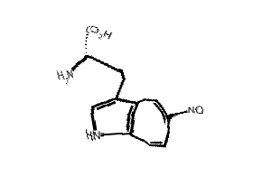 N[C@@H](Cc1c[nH]c2ccc(N=O)cc12)C(=O)O